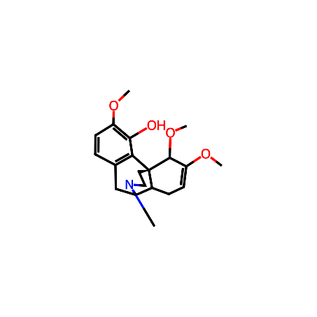 COC1=CCC2C3Cc4ccc(OC)c(O)c4[C@]2(CCN3C)C1OC